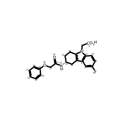 O=C(O)Cn1c2c(c3cc(F)ccc31)C[C@H](NC(=O)COc1ccccc1)CC2